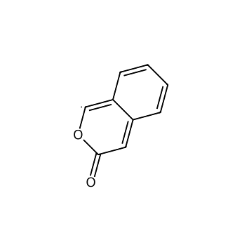 O=c1cc2ccccc2[c]o1